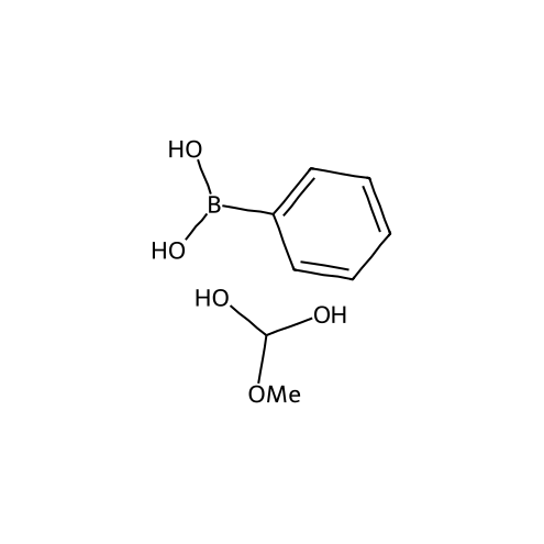 COC(O)O.OB(O)c1ccccc1